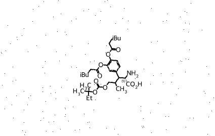 CCC(C)CC(=O)Oc1ccc(C(C(C)COC(=O)OC(C)(C)CC)[C@H](N)C(=O)O)cc1OC(=O)CC(C)CC